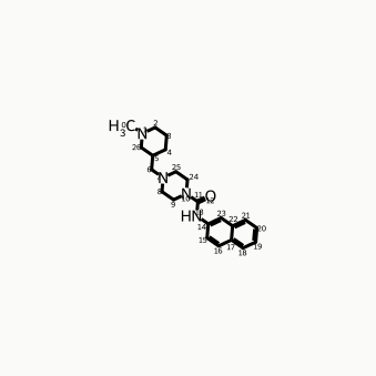 CN1CCCC(CN2CCN(C(=O)Nc3ccc4ccccc4c3)CC2)C1